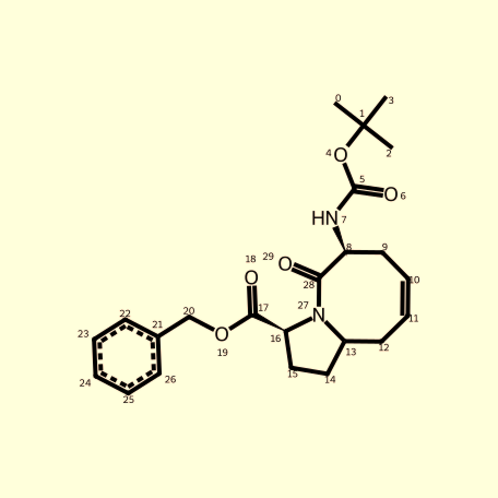 CC(C)(C)OC(=O)N[C@H]1C/C=C\CC2CC[C@@H](C(=O)OCc3ccccc3)N2C1=O